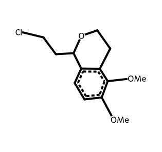 COc1ccc2c(c1OC)CCOC2CCCl